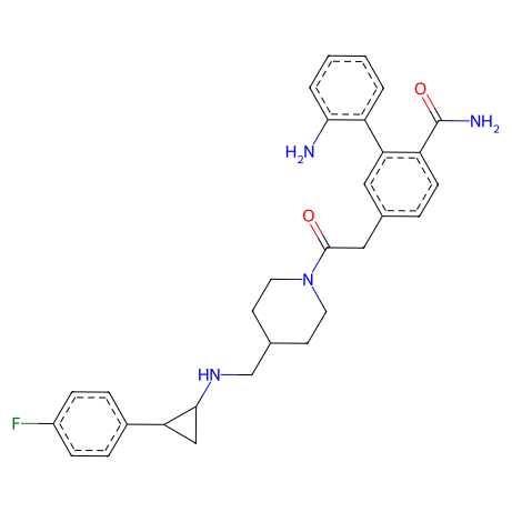 NC(=O)c1ccc(CC(=O)N2CCC(CNC3CC3c3ccc(F)cc3)CC2)cc1-c1ccccc1N